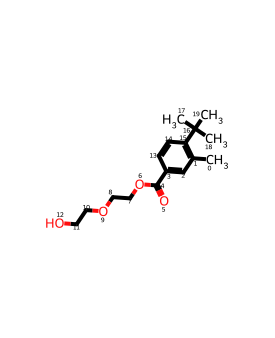 Cc1cc(C(=O)OCCOCCO)ccc1C(C)(C)C